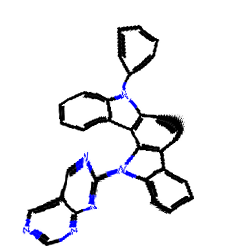 c1ccc(-n2c3ccccc3c3c2ccc2c4ccccc4n(-c4ncc5cncnc5n4)c23)cc1